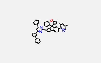 Cc1cnc(-c2ccc3c(c2)C2(c4ccccc4Oc4ccccc42)c2cc(-c4nc(-c5ccccc5)cc(-c5cccc(-c6ccccc6)c5)n4)ccc2-3)c(C)c1